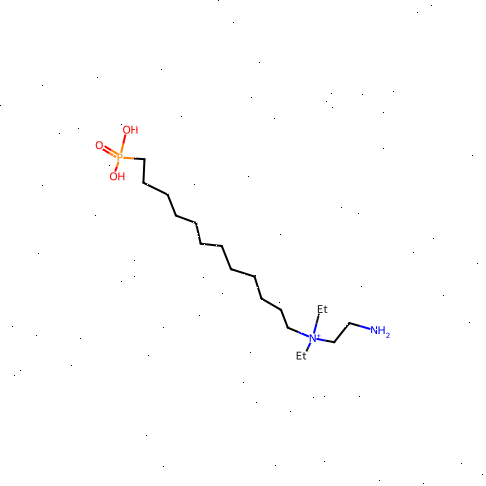 CC[N+](CC)(CCN)CCCCCCCCCCCCP(=O)(O)O